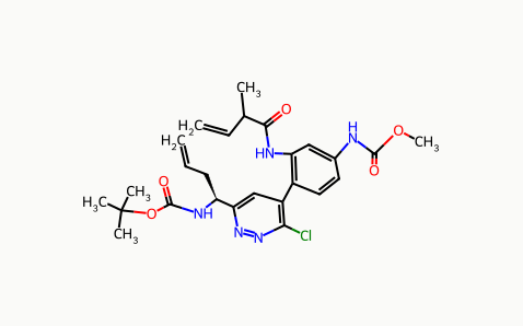 C=CC[C@H](NC(=O)OC(C)(C)C)c1cc(-c2ccc(NC(=O)OC)cc2NC(=O)C(C)C=C)c(Cl)nn1